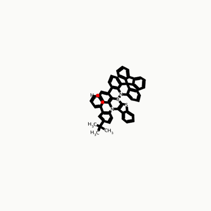 Cc1cc2c3c(c1)N(c1ccc(C(C)(C)C)cc1-c1ccccc1)c1c(sc4ccccc14)B3N1c3ccccc3C3(c4ccccc4-c4ccccc43)c3cccc-2c31